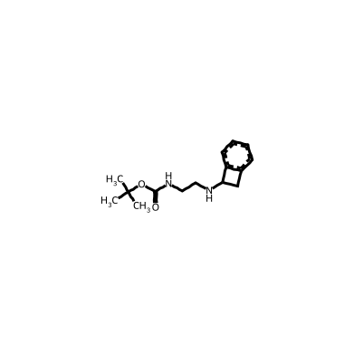 CC(C)(C)OC(=O)NCCNC1Cc2ccccc21